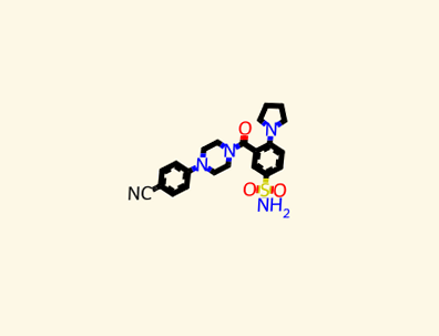 N#Cc1ccc(N2CCN(C(=O)c3cc(S(N)(=O)=O)ccc3N3CCCC3)CC2)cc1